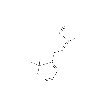 CC(C=O)=CCC1=C(C)C=CCC1(C)C